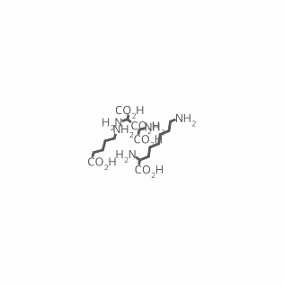 NC(C(=O)O)C(=O)O.NCC(=O)O.NCCCCC(=O)O.NCCCCCCC(N)C(=O)O